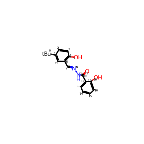 CC(C)(C)c1ccc(O)c(/C=N/NC(=O)c2ccccc2O)c1